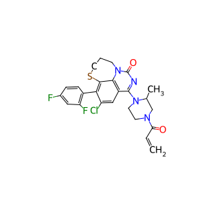 C=CC(=O)N1CCN(c2nc(=O)n3c4c(c(-c5ccc(F)cc5F)c(Cl)cc24)SCCC3)C(C)C1